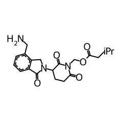 CC(C)CC(=O)OCN1C(=O)CCC(N2Cc3c(CN)cccc3C2=O)C1=O